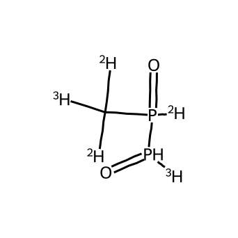 [2H]C([2H])([3H])P([2H])(=O)[PH]([3H])=O